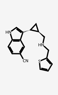 N#Cc1ccc2[nH]cc([C@@H]3C[C@H]3CNCc3cccs3)c2c1